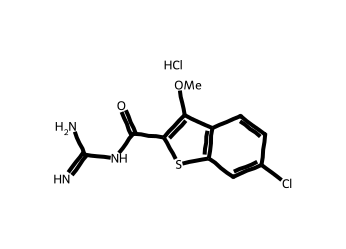 COc1c(C(=O)NC(=N)N)sc2cc(Cl)ccc12.Cl